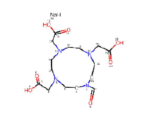 O=CN1CCN(CC(=O)O)CCN(CC(=O)O)CCN(CC(=O)O)CC1.[NaH]